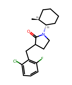 C[C@H]1CCCC[C@@H]1N1CCC(Cc2c(F)cccc2Cl)C1=O